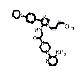 C/C=C\C=C/n1cnc(-c2ccc(N3CCCC3)cc2)c1NCC(=O)N1CCN(c2ncccc2N)CC1